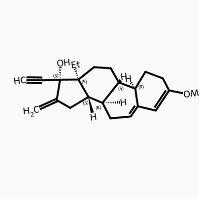 C#C[C@]1(O)C(=C)C[C@H]2[C@@H]3CC=C4C=C(OC)CC[C@@H]4[C@H]3CC[C@@]21CC